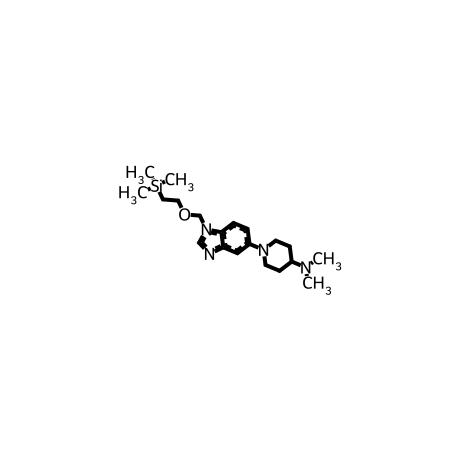 CN(C)C1CCN(c2ccc3c(c2)ncn3COCC[Si](C)(C)C)CC1